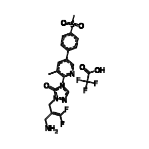 Cc1cc(-c2ccc(S(C)(=O)=O)cc2)cnc1-n1cnn(CC(CN)=C(F)F)c1=O.O=C(O)C(F)(F)F